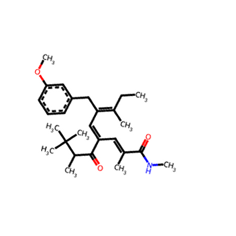 CC/C(C)=C(/C=C(\C=C(/C)C(=O)NC)C(=O)C(C)C(C)(C)C)Cc1cccc(OC)c1